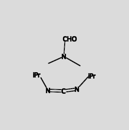 CC(C)N=C=NC(C)C.CN(C)C=O